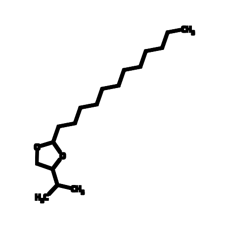 CCCCCCCCCCCCC1OCC(C(C)C)O1